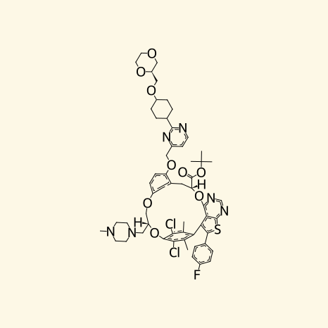 Cc1c(Cl)c2c(Cl)c(C)c1-c1c(-c3ccc(F)cc3)sc3ncnc(c13)O[C@@H](C(=O)OC(C)(C)C)Cc1cc(ccc1OCc1ccnc(C3CCC(OC[C@@H]4COCCO4)CC3)n1)OC[C@@H](CN1CCN(C)CC1)O2